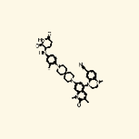 Cc1cc2c(N3CCN(C)c4ccc(C#N)cc43)cc(N3CCC4(CC3)CCN(c3ccc(NC5CCC(=O)NC5=O)cc3F)CC4)cc2n(C)c1=O